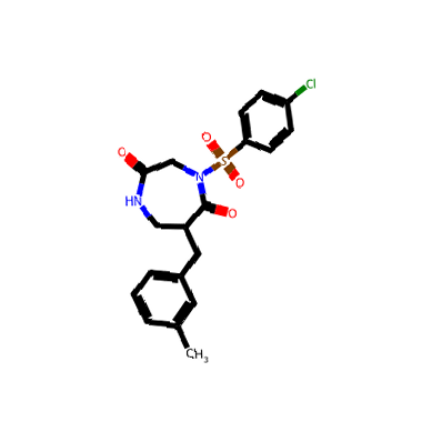 Cc1cccc(CC2CNC(=O)CN(S(=O)(=O)c3ccc(Cl)cc3)C2=O)c1